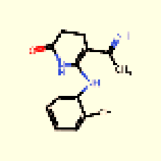 CC(=N)C1=C(Nc2ccccc2C)NC(=O)CC1